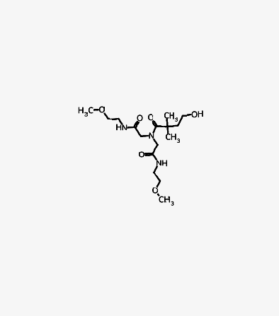 COCCNC(=O)CN(CC(=O)NCCOC)C(=O)C(C)(C)CCO